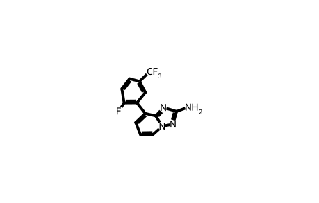 Nc1nc2c(-c3cc(C(F)(F)F)ccc3F)cccn2n1